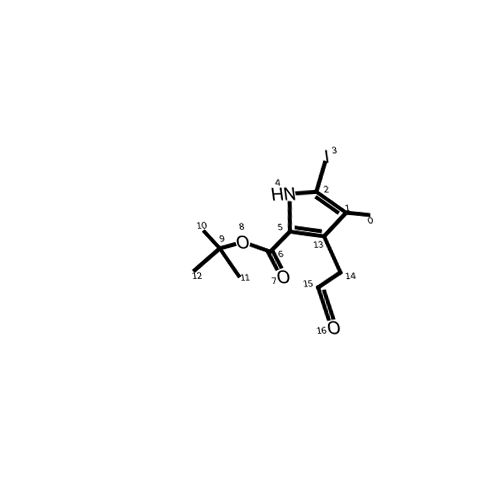 Cc1c(I)[nH]c(C(=O)OC(C)(C)C)c1CC=O